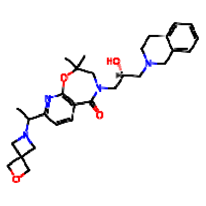 CC(c1ccc2c(n1)OC(C)(C)CN(C[C@H](O)CN1CCc3ccccc3C1)C2=O)N1CC2(COC2)C1